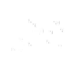 Cc1nn(C(=O)O)c2cc(Nc3nc(N4CCC(C)(CNC(=O)OC(C)(C)C)CC4)c4occc4n3)ccc12